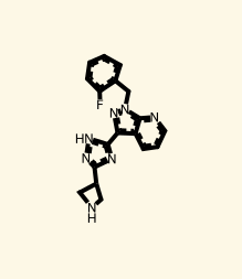 Fc1ccccc1Cn1nc(-c2nc(C3CNC3)n[nH]2)c2cccnc21